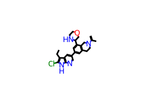 C=C(C)N1CCc2cc(-c3cnc4[nH]c(Cl)c(CC)c4c3)cc(C3COCCN3)c2C1